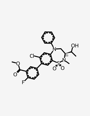 COC(=O)c1cc(-c2cc3c(cc2Cl)N(c2ccccc2)C[C@@H](C(C)O)N(C)S3(=O)=O)ccc1F